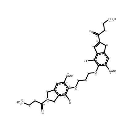 COc1cc2c(c(F)c1OCCCOc1c(OC)cc3c(c1F)CN(C(=O)CCC(=O)O)C3)C=C(C(=O)CCC(=O)O)C2